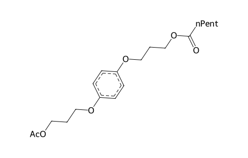 CCCCCC(=O)OCCCOc1ccc(OCCCOC(C)=O)cc1